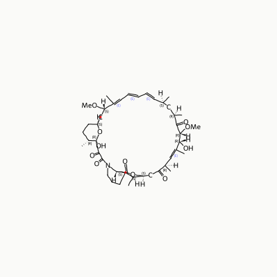 CO[C@H]1C[C@@H]2CC[C@@H](C)[C@@](O)(O2)C(=O)C(=O)N2CCCC3[C@H]2C(=O)O[C@@H](CC(=O)[C@H](C)/C=C(\C)[C@@H](O)[C@@H](OC)C(=O)[C@H](C)C[C@H](C)/C=C/C=C/C=C/1C)[C@H]3C